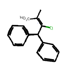 C/C(C(=O)O)=C(\Cl)C(c1ccccc1)c1ccccc1